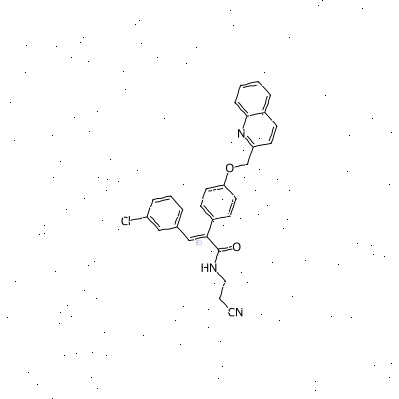 N#CCCNC(=O)/C(=C/c1cccc(Cl)c1)c1ccc(OCc2ccc3ccccc3n2)cc1